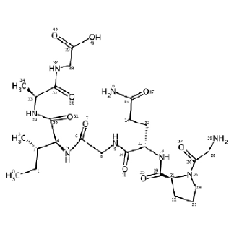 CC[C@H](C)[C@H](NC(=O)CNC(=O)[C@H](CCC(N)=O)NC(=O)[C@@H]1CCCN1C(=O)CN)C(=O)N[C@@H](C)C(=O)NCC(=O)O